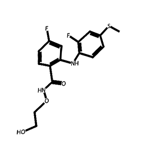 CSc1ccc(Nc2cc(F)ccc2C(=O)NOCCO)c(F)c1